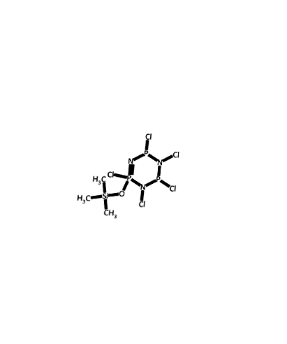 C[Si](C)(C)OP1(Cl)=NP(Cl)N(Cl)P(Cl)N1Cl